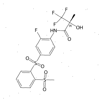 C[C@@](O)(C(=O)Nc1ccc(S(=O)(=O)c2ccccc2S(C)(=O)=O)cc1F)C(F)(F)F